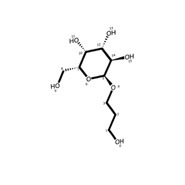 OCCCO[C@H]1O[C@H](CO)[C@H](O)[C@H](O)[C@H]1O